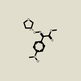 COC(=O)/C(=N/O[C@@H]1CCOC1)c1ccc([S+](C)[O-])cc1